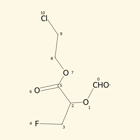 O=[C]OC(CF)C(=O)OCCCl